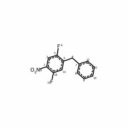 O=[N+]([O-])c1cc(F)c(Cc2ccccc2)cc1F